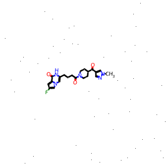 Cn1cc(C(=O)C2CCN(C(=O)CCCc3cn4cc(F)cc4c(=O)[nH]3)CC2)cn1